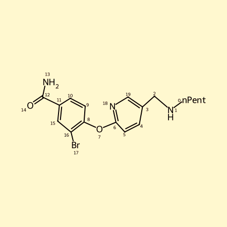 CCCCCNCc1ccc(Oc2ccc(C(N)=O)cc2Br)nc1